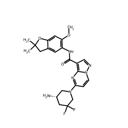 COc1cc2c(cc1NC(=O)c1cnn3ccc(N4C[C@@H](N)CC(F)(F)C4)nc13)CC(C)(C)O2